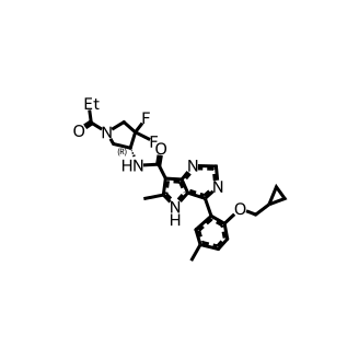 CCC(=O)N1C[C@@H](NC(=O)c2c(C)[nH]c3c(-c4cc(C)ccc4OCC4CC4)ncnc23)C(F)(F)C1